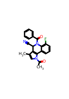 CC(=O)n1cc(C)c2c1-c1cccc(F)c1N(C(=O)c1ccccc1)C2C#N